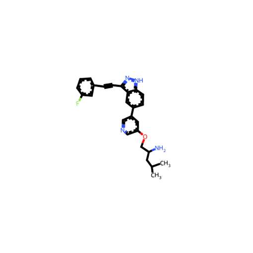 CC(C)CC(N)COc1cncc(-c2ccc3[nH]nc(C#Cc4cccc(F)c4)c3c2)c1